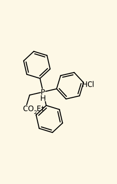 CCOC(=O)C[PH](c1ccccc1)(c1ccccc1)c1ccccc1.Cl